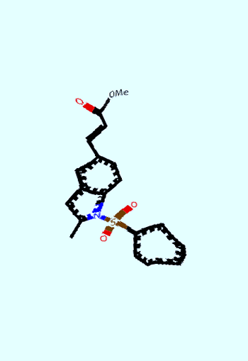 COC(=O)C=Cc1ccc2c(c1)cc(C)n2S(=O)(=O)c1ccccc1